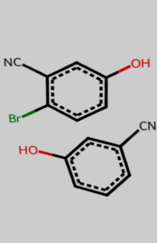 N#Cc1cc(O)ccc1Br.N#Cc1cccc(O)c1